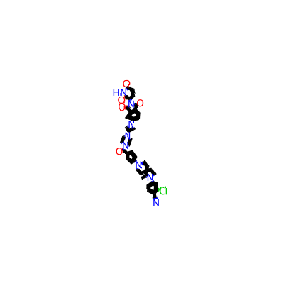 CC1N(c2ccc(C#N)c(Cl)c2)CCC12CCN(c1ccc(C(=O)N3CCN(C4CN(c5ccc6c(c5)C(=O)N(C5CCC(=O)NC5=O)C6=O)C4)CC3)cc1)CC2